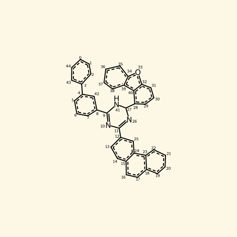 c1ccc(-c2cccc(C3=NC(c4ccc5ccc6ccccc6c5c4)=NC(c4cccc5oc6ccccc6c45)N3)c2)cc1